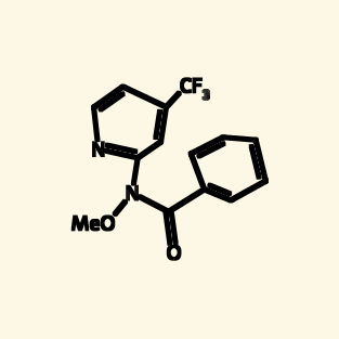 CON(C(=O)c1ccccc1)c1cc(C(F)(F)F)ccn1